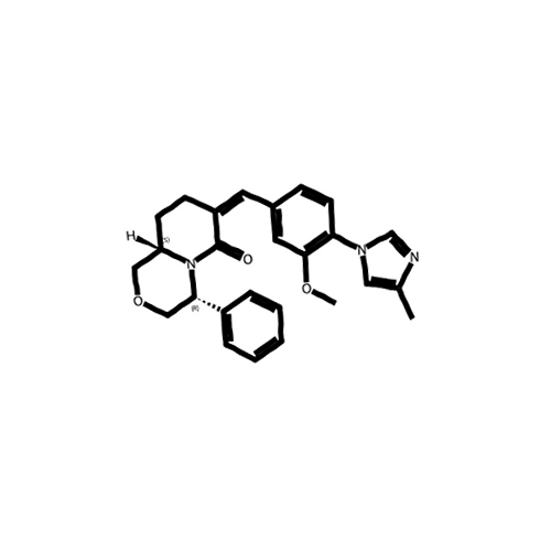 COc1cc(C=C2CC[C@H]3COC[C@@H](c4ccccc4)N3C2=O)ccc1-n1cnc(C)c1